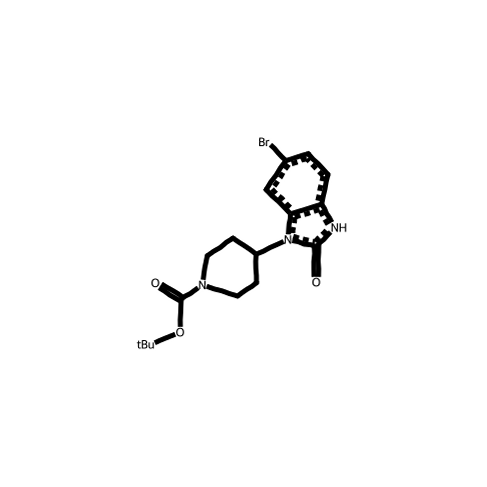 CC(C)(C)OC(=O)N1CCC(n2c(=O)[nH]c3ccc(Br)cc32)CC1